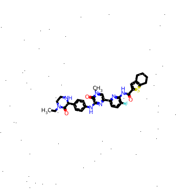 CCN1CCNC(c2ccc(Nc3nc(-c4ccc(F)c(NC(=O)c5cc6c(s5)CCCC6)n4)cn(C)c3=O)cc2)C1=O